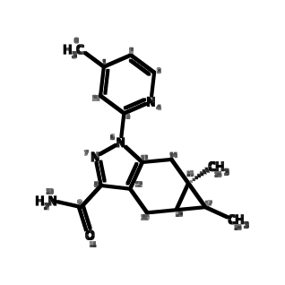 Cc1ccnc(-n2nc(C(N)=O)c3c2C[C@@]2(C)C(C)C2C3)c1